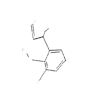 [CH2]C(C=C)c1cccc(I)c1OCC